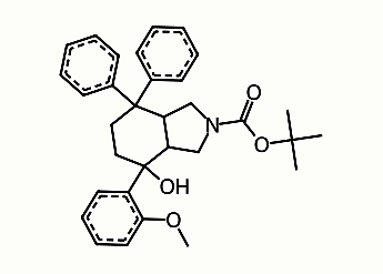 COc1ccccc1C1(O)CCC(c2ccccc2)(c2ccccc2)C2CN(C(=O)OC(C)(C)C)CC21